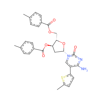 Cc1ccc(C(=O)OC[C@@H]2O[C@H](n3cc(-c4ccc(C)s4)c(N)nc3=O)C[C@H]2OC(=O)c2ccc(C)cc2)cc1